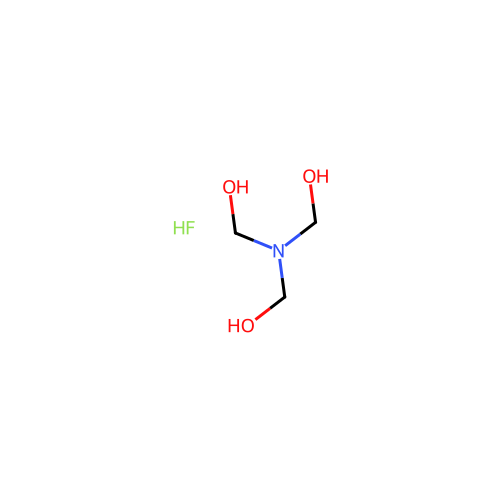 F.OCN(CO)CO